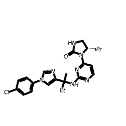 CCC(C)(Nc1nccc(N2C(=O)NC[C@@H]2C(C)C)n1)c1cn(-c2ccc(Cl)cc2)cn1